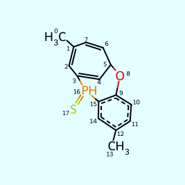 CC1=CC2=CC(C=C1)Oc1ccc(C)cc1[PH]2=S